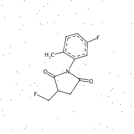 Cc1ccc(F)cc1N1C(=O)CC(CF)C1=O